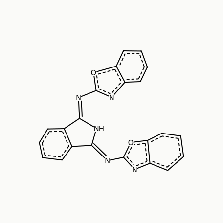 c1ccc2c(c1)/C(=N/c1nc3ccccc3o1)N/C2=N\c1nc2ccccc2o1